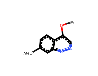 COc1ccc2c(OC(C)C)cnnc2c1